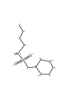 CCCCNS(=O)(=O)CC1COCCO1